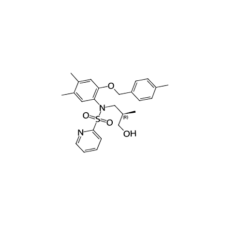 Cc1ccc(COc2cc(C)c(C)cc2N(C[C@@H](C)CO)S(=O)(=O)c2ccccn2)cc1